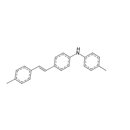 Cc1ccc(C=Cc2ccc(Nc3ccc(C)cc3)cc2)cc1